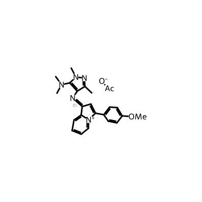 CC(=O)[O-].COc1ccc(C2=C/C(=N\c3c(C)nn(C)c3N(C)C)c3cccc[n+]32)cc1